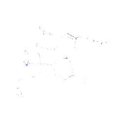 CCC(=O)OC1(c2ccc(Cl)cc2)N=NC=C1c1ccc(OC)cc1.[NaH]